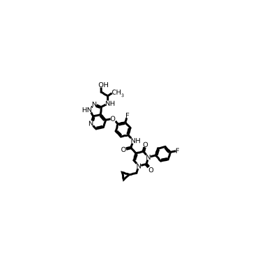 CC(CO)Nc1n[nH]c2nccc(Oc3ccc(NC(=O)c4cn(CC5CC5)c(=O)n(-c5ccc(F)cc5)c4=O)cc3F)c12